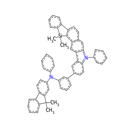 CC1(C)c2ccccc2-c2ccc(N(c3ccccc3)c3cccc(-c4ccc5c(c4)c4cc6c7c(ccc6cc4n5-c4ccccc4)-c4ccccc4[Si]7(C)C)c3)cc21